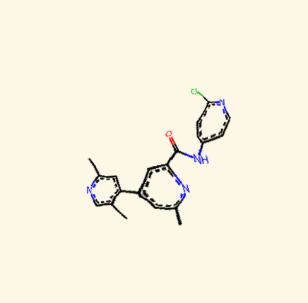 Cc1cc(-c2cc(C)nc(C(=O)Nc3ccnc(Cl)c3)c2)c(C)cn1